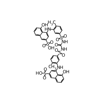 Cc1ccc(S(=O)(=O)NC(=O)NS(=O)(=O)c2ccc(C)c(Nc3cc(S(=O)(=O)O)cc4cccc(O)c34)c2)cc1Nc1cc(S(=O)(=O)O)cc2cccc(O)c12